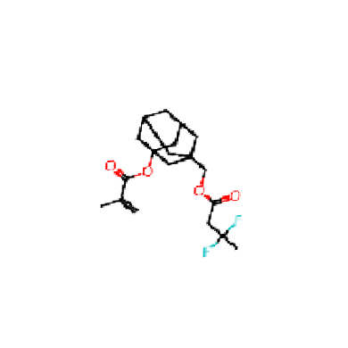 C=C(C)C(=O)OC12CC3CC(CC(COC(=O)CC(C)(F)F)(C3)C1)C2